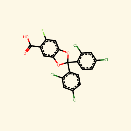 O=C(O)c1cc2c(cc1F)OC(c1ccc(Cl)cc1Cl)(c1ccc(Cl)cc1Cl)O2